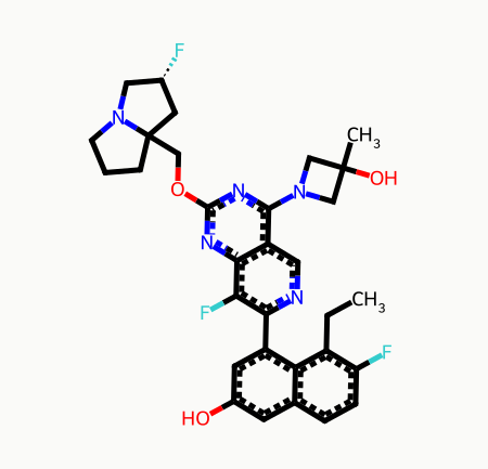 CCc1c(F)ccc2cc(O)cc(-c3ncc4c(N5CC(C)(O)C5)nc(OCC56CCCN5C[C@H](F)C6)nc4c3F)c12